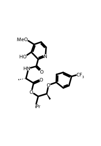 COc1ccnc(C(=O)N[C@@H](C)C(=O)OC(C(C)C)[C@H](C)Oc2ccc(C(F)(F)F)cc2)c1O